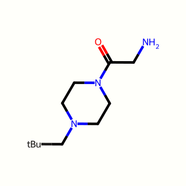 CC(C)(C)CN1CCN(C(=O)CN)CC1